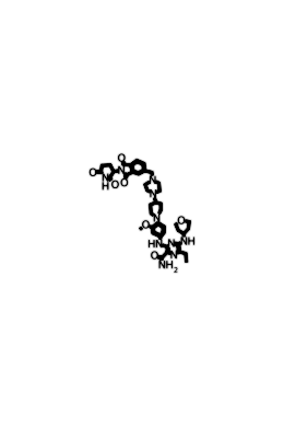 CCc1nc(C(N)=O)c(Nc2ccc(N3CCC(N4CCN(Cc5ccc6c(c5)C(=O)N(C5CCC(=O)NC5=O)C6=O)CC4)CC3)c(OC)c2)nc1NC1CCOCC1